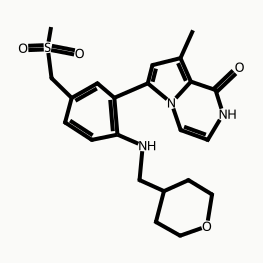 Cc1cc(-c2cc(CS(C)(=O)=O)ccc2NCC2CCOCC2)n2cc[nH]c(=O)c12